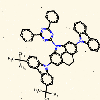 CC(C)(C)c1ccc2c(c1)c1cc(C(C)(C)C)ccc1n2-c1cc2c3c4c(cc(-n5c6ccccc6c6ccccc65)cc4n(-c4nc(-c5ccccc5)nc(-c5ccccc5)n4)c3c1)CC2